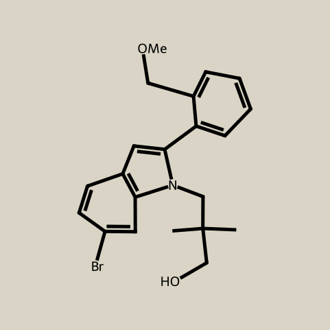 COCc1ccccc1-c1cc2ccc(Br)cc2n1CC(C)(C)CO